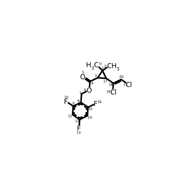 CC1(C)C(C(=O)OCc2c(F)cc(F)cc2F)C1/C(Cl)=C/Cl